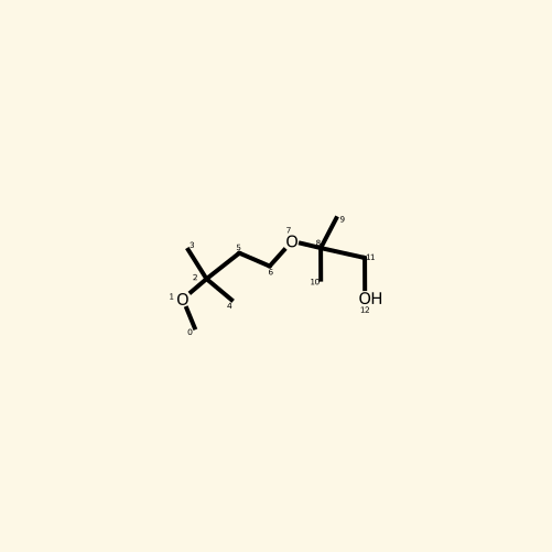 COC(C)(C)CCOC(C)(C)CO